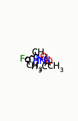 Cc1cc(F)cc(C=C2CCN(C(=O)Nc3noc(C)c3C)CC2C)c1